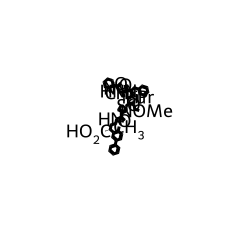 CCC(C)C(NC(=O)C1CCCCN1C)C(=O)N(Cc1ccccc1)[C@H](C[C@@H](OCOC)c1nc(C(=O)NCC[C@@H](C(=O)O)c2cc(-c3ccccc3)ccc2C)cs1)C(C)C